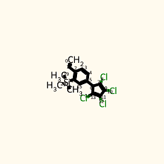 C=Cc1ccc(C2C(Cl)=C(Cl)C(Cl)=C2Cl)cc1[Si](C)(C)C